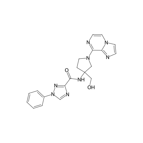 O=C(NC1(CO)CCN(c2nccn3ccnc23)C1)c1ncn(-c2ccccc2)n1